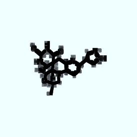 C[C@@H]1CN2c3ccc(-c4cn[nH]c4)nc3CC3(C(=O)NC(=O)NC3=O)[C@H]2[C@H](C)O1